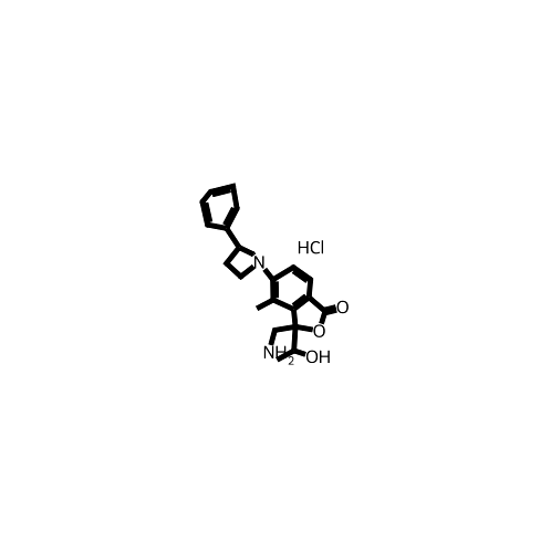 Cc1c(N2CCC(c3ccccc3)C2)ccc2c1C(CN)(C(C)O)OC2=O.Cl